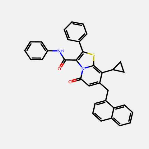 O=C(Nc1ccccc1)c1c(-c2ccccc2)sc2c(C3CC3)c(Cc3cccc4ccccc34)cc(=O)n12